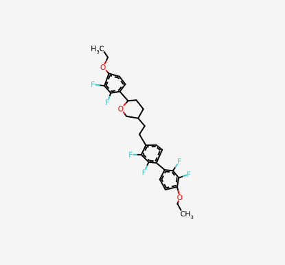 CCOc1ccc(-c2ccc(CCC3CCC(c4ccc(OCC)c(F)c4F)OC3)c(F)c2F)c(F)c1F